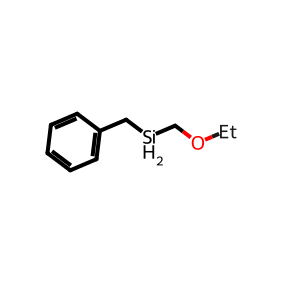 CCOC[SiH2]Cc1ccccc1